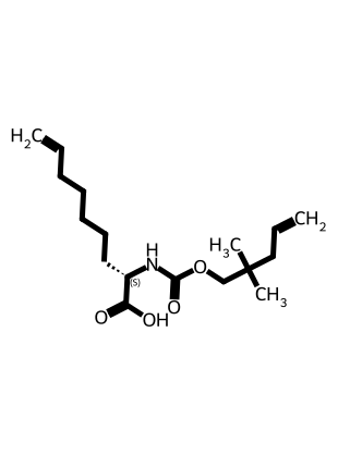 C=CCCCCC[C@H](NC(=O)OCC(C)(C)CC=C)C(=O)O